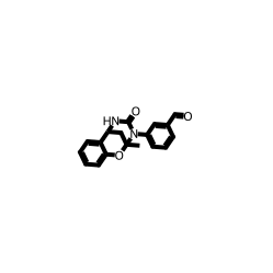 CC12CC(NC(=O)N1c1cccc(C=O)c1)c1ccccc1O2